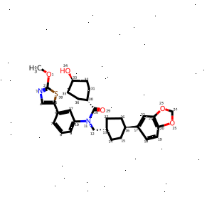 COc1ncc(-c2cccc(N(C[C@H]3CC[C@H](c4ccc5c(c4)OCO5)CC3)C(=O)[C@H]3CC[C@H](O)CC3)c2)s1